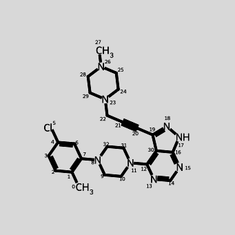 Cc1ccc(Cl)cc1N1CCN(c2ncnc3[nH]nc(C#CCN4CCN(C)CC4)c23)CC1